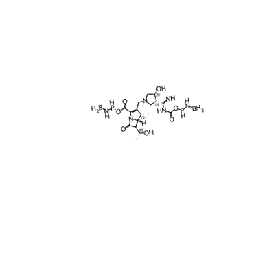 BNPOC(=O)NC(=N)[C@@H]1CN(CC2=C(C(=O)OPNB)N3C(=O)C([C@@H](C)O)[C@H]3[C@H]2C)C[C@H]1O